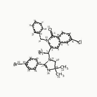 CC(C)C(c1cc2cc(Cl)ccc2c(=O)n1Cc1ccccc1)N1CC(C)(C)N=C1c1ccc(Br)cc1